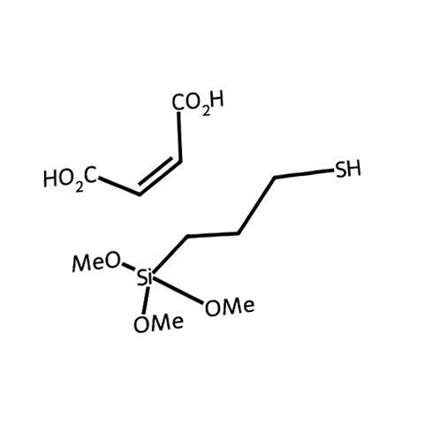 CO[Si](CCCS)(OC)OC.O=C(O)/C=C\C(=O)O